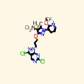 Cc1c([N+](=O)[O-])c(OCCCn2nc(Cl)c3cnc(Cl)nc32)nn1-c1cccnc1OC(F)(F)F